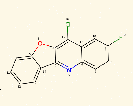 Fc1ccc2nc3c(oc4ccccc43)c(Cl)c2c1